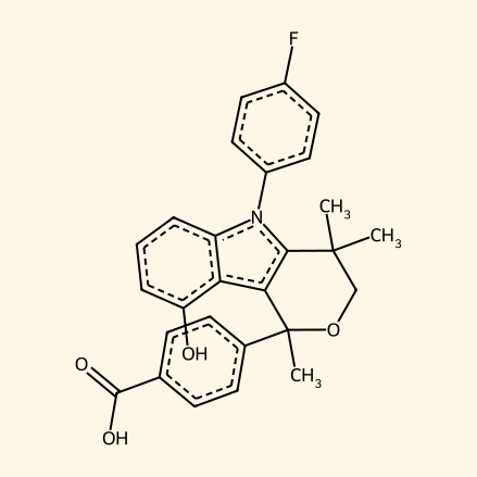 CC1(C)COC(C)(c2ccc(C(=O)O)cc2)c2c1n(-c1ccc(F)cc1)c1cccc(O)c21